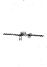 CCCCCCCCCCCCCCCCNC(=N)CCCSCCC(=O)OCCCCCCCCCCCC